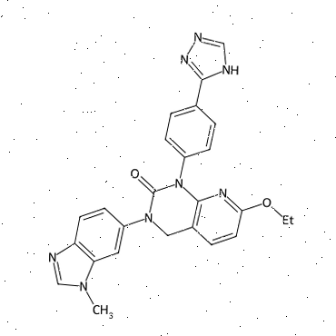 CCOc1ccc2c(n1)N(c1ccc(-c3nnc[nH]3)cc1)C(=O)N(c1ccc3ncn(C)c3c1)C2